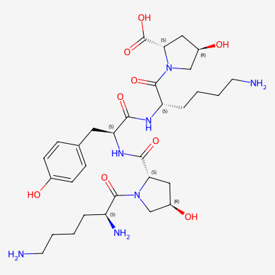 NCCCC[C@H](NC(=O)[C@H](Cc1ccc(O)cc1)NC(=O)[C@@H]1C[C@@H](O)CN1C(=O)[C@@H](N)CCCCN)C(=O)N1C[C@H](O)C[C@H]1C(=O)O